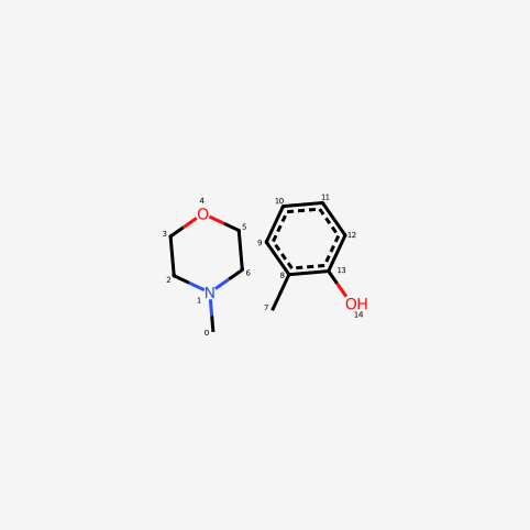 CN1CCOCC1.Cc1ccccc1O